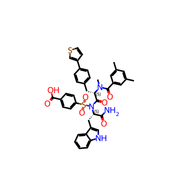 Cc1cc(C)cc(C(=O)N(C)[C@@H](Cc2ccc(-c3ccsc3)cc2)C(=O)N([C@@H](Cc2c[nH]c3ccccc23)C(N)=O)S(=O)(=O)c2ccc(C(=O)O)cc2)c1